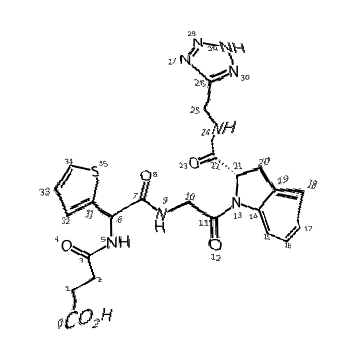 O=C(O)CCC(=O)NC(C(=O)NCC(=O)N1c2ccccc2C[C@H]1C(=O)NCc1nn[nH]n1)c1cccs1